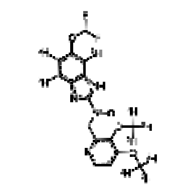 [2H]c1c(OC(F)F)c([2H])c2[nH]c([S+]([O-])Cc3nccc(OC([2H])([2H])[2H])c3OC([2H])([2H])[2H])nc2c1[2H]